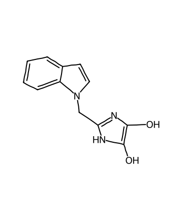 Oc1nc(Cn2ccc3ccccc32)[nH]c1O